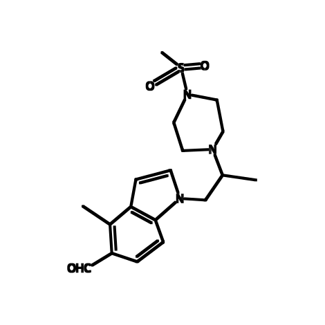 Cc1c(C=O)ccc2c1ccn2CC(C)N1CCN(S(C)(=O)=O)CC1